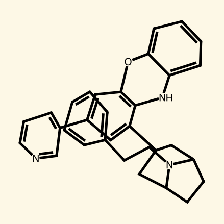 c1ccc(CCN2C3CCC2CC(c2cc(-c4cccnc4)cc4c2Nc2ccccc2O4)C3)cc1